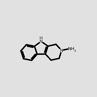 NN1CCc2c([nH]c3ccccc23)C1